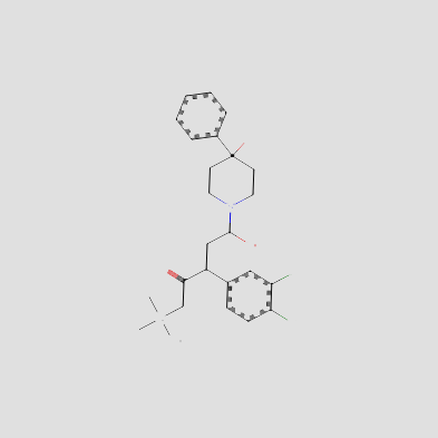 CC(C)(C)[Si](C)(C)CC(=O)C(CC(O)N1CCC(O)(c2ccccc2)CC1)c1ccc(Cl)c(Cl)c1